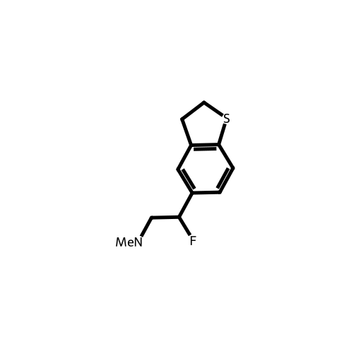 CNCC(F)c1ccc2c(c1)CCS2